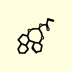 C=CC(=O)OC1COC2CCC3CCCCC3C2C2C(CCC3CCCCC32)OC1